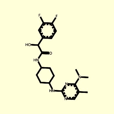 Cc1cnc(NC2CCC(NC(=O)C(O)c3ccc(F)c(F)c3)CC2)nc1N(C)C